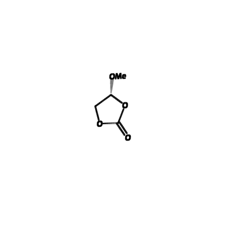 CO[C@H]1COC(=O)O1